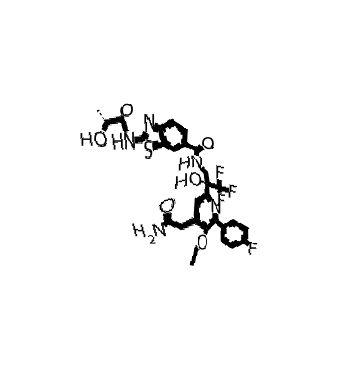 CCOc1c(CC(N)=O)cc([C@@](O)(CNC(=O)c2ccc3nc(NC(=O)[C@@H](C)O)sc3c2)C(F)(F)F)nc1-c1ccc(F)cc1